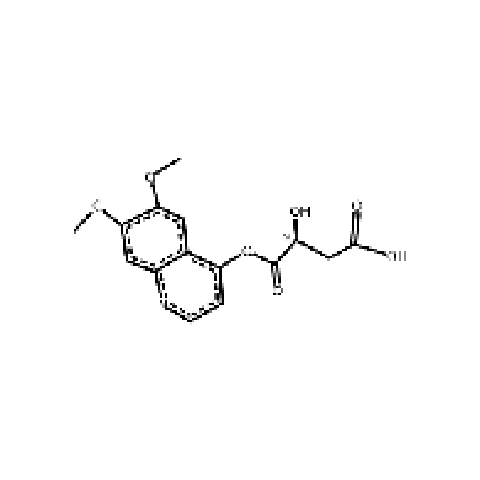 COc1cc2nccc(OC(=O)[C@@H](O)CC(=O)O)c2cc1OC